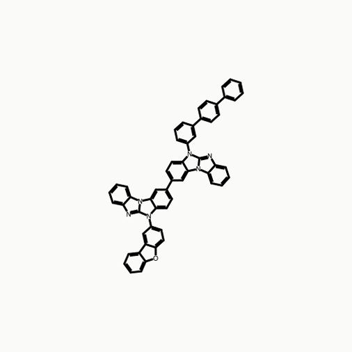 c1ccc(-c2ccc(-c3cccc(-n4c5ccc(-c6ccc7c(c6)n6c8ccccc8nc6n7-c6ccc7oc8ccccc8c7c6)cc5n5c6ccccc6nc45)c3)cc2)cc1